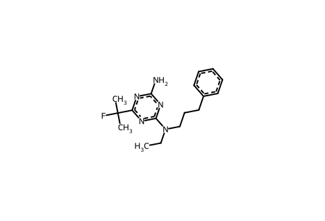 CCN(CCCc1ccccc1)c1nc(N)nc(C(C)(C)F)n1